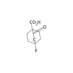 O=C(O)C12CCC(F)(CC1)CC2=O